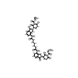 CC(C)(C)OC(=O)N1C(=O)CCC(N2Cc3c(NC(=O)CCCCCC(=O)Nc4cccc5c4CN(C4CCC(=O)N(C(=O)OC(C)(C)C)C4=O)C5=O)cccc3C2=O)C1=O